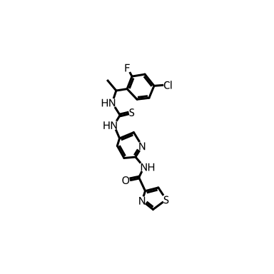 CC(NC(=S)Nc1ccc(NC(=O)c2cscn2)nc1)c1ccc(Cl)cc1F